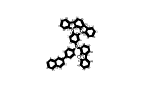 c1ccc2cc(-c3ccc(N(c4ccc5c(c4)n4c6ccccc6c6ccc7c8ccccc8n5c7c64)c4cccc5c4oc4ccccc45)cc3)ccc2c1